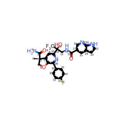 C[C@]1(C(N)=O)COc2c1cc(C(O)(CNC(=O)c1cnc3[nH]ccc3c1)C(F)(F)F)nc2-c1ccc(F)cc1